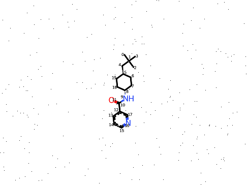 CC(C)(C)C[C@H]1CC[C@H](NC(=O)c2cccnc2)CC1